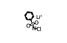 O=S(=O)([N-]Cl)c1ccccc1.[Li+]